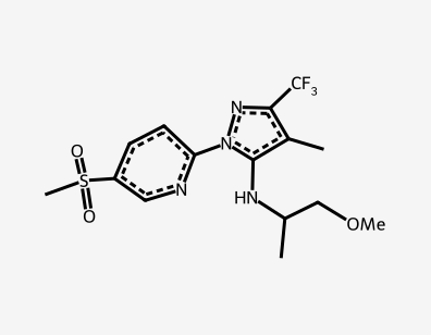 COCC(C)Nc1c(C)c(C(F)(F)F)nn1-c1ccc(S(C)(=O)=O)cn1